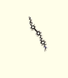 C=CCCOCc1ccc(C#Cc2ccc(CC=CCC3CCC(C/C=C/C)CC3)cc2)cc1